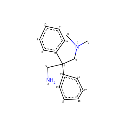 CN(C)CC(CN)(c1ccccc1)c1ccccc1